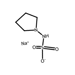 O=S(=O)([O-])NN1CCCC1.[Na+]